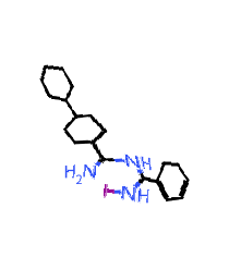 NC(NC(NI)C1=CC=CCC1)C1CCC(C2CCCCC2)CC1